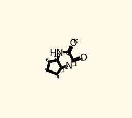 O=C1[N]C2CCCC2NC1=O